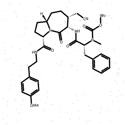 COc1ccc(CCNC(=O)[C@@H]2CC[C@@H]3CC[C@H](CC#N)[C@H](NC(=O)[C@@H](Cc4ccccc4)N(C)C(=O)OC(C)(C)C)C(=O)N32)cc1